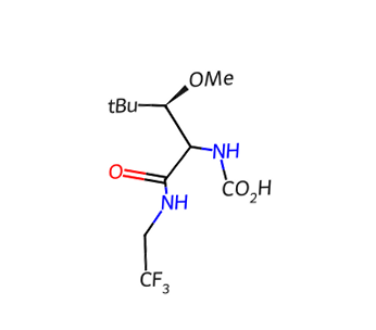 CO[C@@H](C(NC(=O)O)C(=O)NCC(F)(F)F)C(C)(C)C